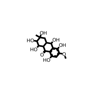 COc1cc(O)c2c(c1O)C(O)C1CC(C)(O)C(O)C(O)C1C2=O